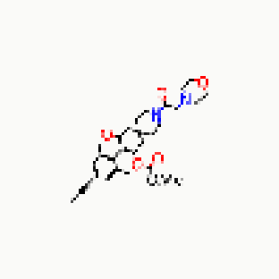 CC#Cc1cc(C)c(C2=C(OC(=O)OC)CC3(CCN(C(=O)CN4CCOCC4)CC3)CC2=O)c(C)c1